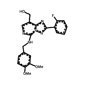 COc1ccc(CNc2ncc(CO)c3nc(-c4ccccc4F)nn23)cc1OC